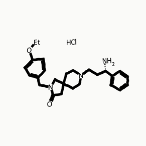 CCOc1ccc(CN2CC3(CCN(CC[C@H](N)c4ccccc4)CC3)CC2=O)cc1.Cl